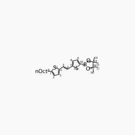 CCCCCCCCc1ccc(/C=C/c2ccc(B3OC(C)(C)C(C)(C)O3)s2)s1